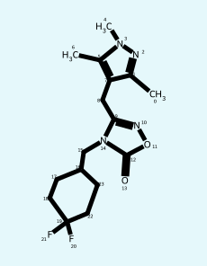 Cc1nn(C)c(C)c1Cc1noc(=O)n1CC1CCC(F)(F)CC1